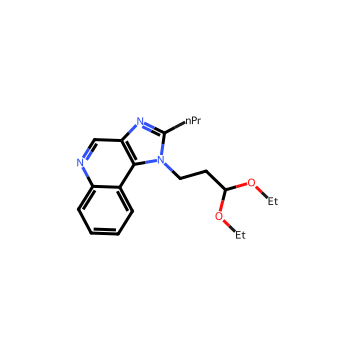 CCCc1nc2cnc3ccccc3c2n1CCC(OCC)OCC